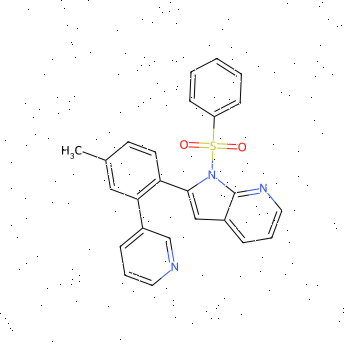 Cc1ccc(-c2cc3cccnc3n2S(=O)(=O)c2ccccc2)c(-c2cccnc2)c1